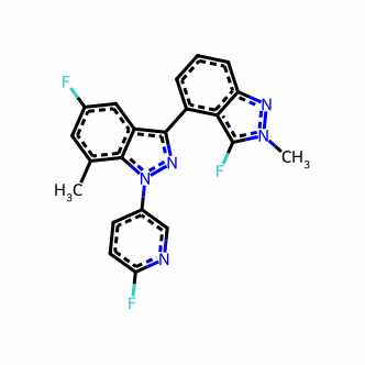 Cc1cc(F)cc2c(-c3cccc4nn(C)c(F)c34)nn(-c3ccc(F)nc3)c12